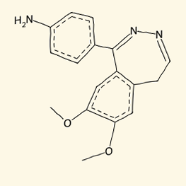 COc1cc2c(cc1OC)C(c1ccc(N)cc1)=NN=CC2